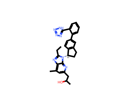 CCc1nc2c(C)cc(CC(C)O)nc2n1[C@H]1CCc2cc(-c3ccccc3-c3nnn[nH]3)ccc21